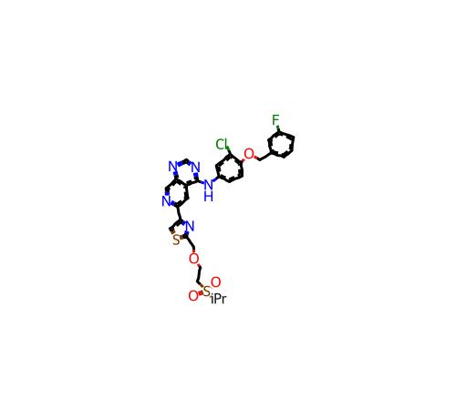 CC(C)S(=O)(=O)CCOCc1nc(-c2cc3c(Nc4ccc(OCc5cccc(F)c5)c(Cl)c4)ncnc3cn2)cs1